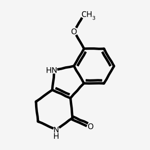 COc1cccc2c3c([nH]c12)CCNC3=O